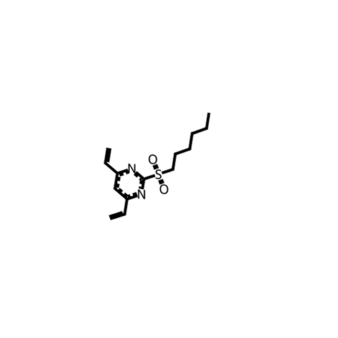 C=Cc1cc(C=C)nc(S(=O)(=O)CCCCCC)n1